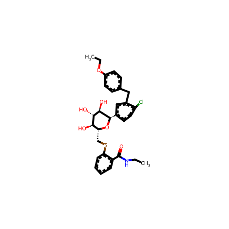 CCNC(=O)c1ccccc1SC[C@H]1O[C@@H](c2ccc(Cl)c(Cc3ccc(OCC)cc3)c2)[C@H](O)[C@@H](O)[C@@H]1O